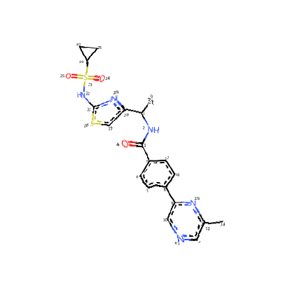 CCC(NC(=O)c1ccc(-c2cncc(C)n2)cc1)c1csc(NS(=O)(=O)C2CC2)n1